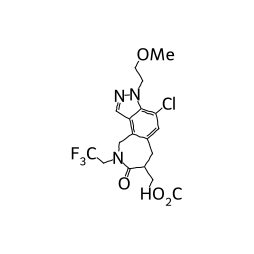 COCCn1ncc2c3c(cc(Cl)c21)CC(CC(=O)O)C(=O)N(CC(F)(F)F)C3